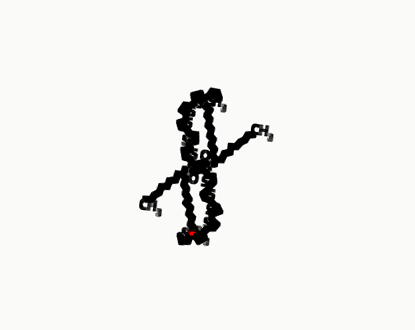 CCCCCCCCCCCCC(CCCCCCCCCC)CN1C(=O)C2=C(C3CC=C(C4=CCC(C5CC=C(C6=CCC(C7CC=C(C8=CCCS8)S7)S6)S5)S4)S3)N(CC(CCCCCCCCCC)CCCCCCCCCCCC)C(=O)C2=C1c1ccc(-c2ccc(-c3ccc(-c4ccc(-c5ccc(-c6cccs6)s5)s4)s3)s2)s1